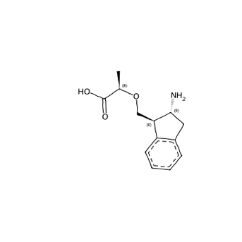 C[C@@H](OC[C@@H]1c2ccccc2C[C@H]1N)C(=O)O